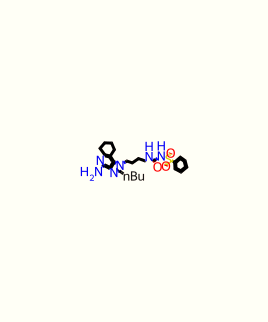 CCCCc1nc2c(N)nc3c(c2n1CCCCNC(=O)NS(=O)(=O)c1ccccc1)CCCC3